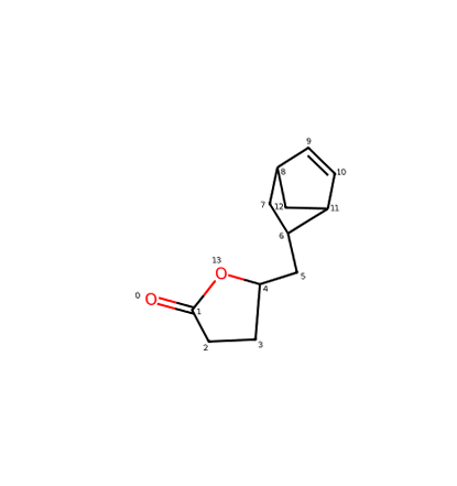 O=C1CCC(CC2CC3C=CC2C3)O1